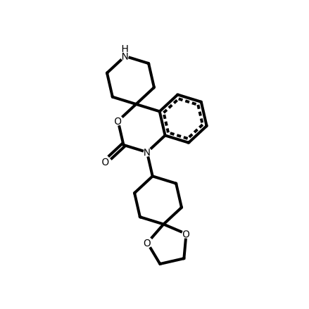 O=C1OC2(CCNCC2)c2ccccc2N1C1CCC2(CC1)OCCO2